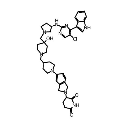 O=C1CCC(N2Cc3ccc(N4CCC(CN5CCC(O)(CN6CC[C@@H](Nc7ncc(Cl)c(-c8c[nH]c9ccccc89)n7)C6)CC5)CC4)cc3C2)C(=O)N1